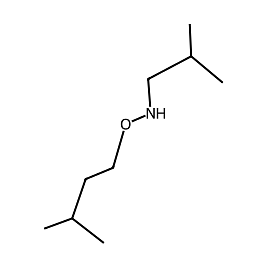 CC(C)CCONCC(C)C